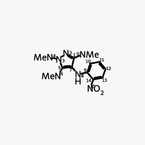 CNc1nn(NC)c(NC)c1Nc1ccccc1[N+](=O)[O-]